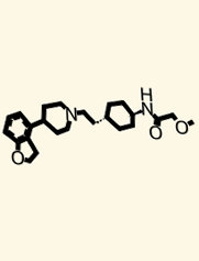 COCC(=O)N[C@H]1CC[C@H](CCN2CCC(c3cccc4c3CCO4)CC2)CC1